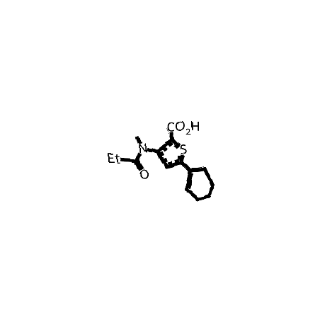 CCC(=O)N(C)c1cc(C2=CCCCC2)sc1C(=O)O